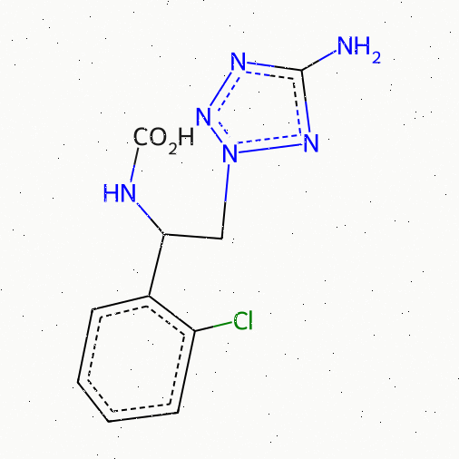 Nc1nnn(CC(NC(=O)O)c2ccccc2Cl)n1